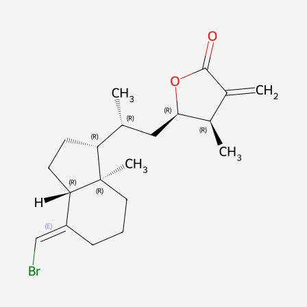 C=C1C(=O)O[C@H](C[C@@H](C)[C@H]2CC[C@H]3/C(=C/Br)CCC[C@]23C)[C@@H]1C